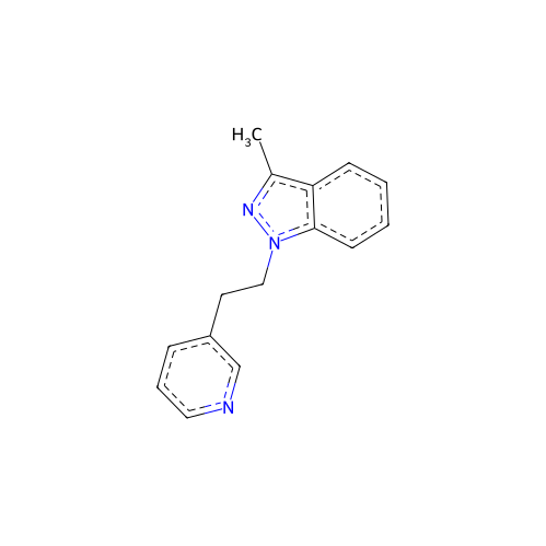 Cc1nn(CCc2cccnc2)c2ccccc12